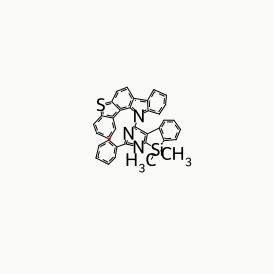 C[Si]1(C)c2ccccc2-c2c(-n3c4ccccc4c4ccc5sc6ccccc6c5c43)nc(-c3ccccc3)nc21